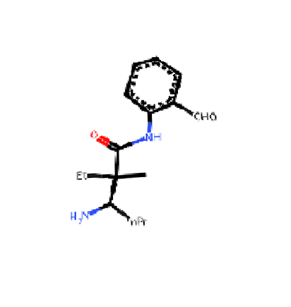 CCCC(N)C(C)(CC)C(=O)Nc1ccccc1C=O